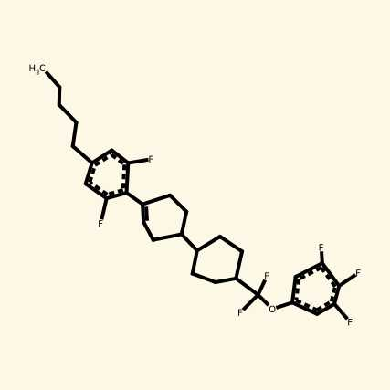 CCCCCc1cc(F)c(C2=CCC(C3CCC(C(F)(F)Oc4cc(F)c(F)c(F)c4)CC3)CC2)c(F)c1